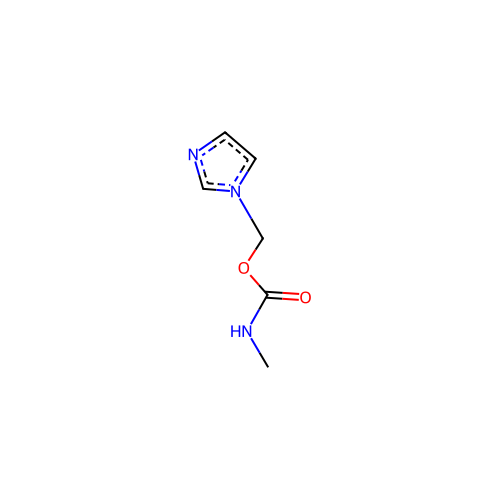 CNC(=O)OCn1ccnc1